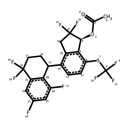 CC(=O)O[C@H]1c2c(SC(F)(F)F)ccc(C3CCC(F)(F)c4cc(F)cc(F)c43)c2CC1(F)F